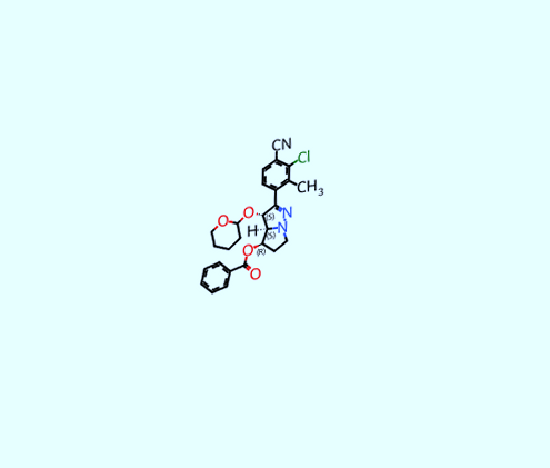 Cc1c(C2=NN3CC[C@@H](OC(=O)c4ccccc4)[C@H]3[C@@H]2OC2CCCCO2)ccc(C#N)c1Cl